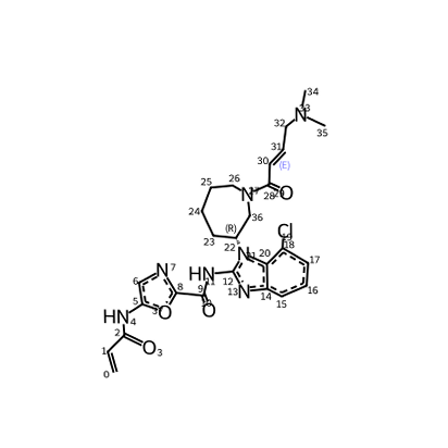 C=CC(=O)Nc1cnc(C(=O)Nc2nc3cccc(Cl)c3n2[C@@H]2CCCCN(C(=O)/C=C/CN(C)C)C2)o1